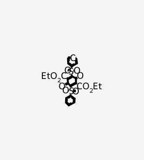 CCOC(=O)C1=C(S(=O)(=O)c2ccccc2)C(=O)C(C(=O)OCC)=C(S(=O)(=O)c2ccccc2)C1=O